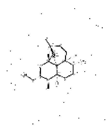 C[C@H]1[C@H](CN)O[C@@H]2OC3(C)CC[C@H]4[C@H](N)CC[C@@H]1[C@@]24OO3